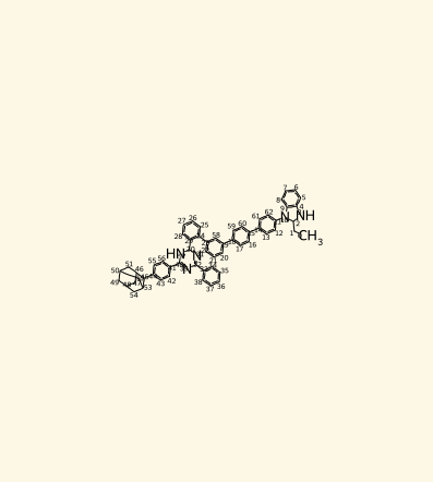 CCC1Nc2ccccc2N1c1ccc(-c2ccc(-c3cccc(-c4ccccc4C4N=C(c5ccccc5)N=C(c5ccc(C6C7CC8CC(C7)CC6C8)cc5)N4)c3)cc2)cc1